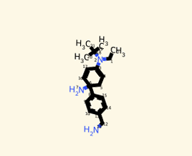 CCN(C1=CCC(N)(c2ccc(CN)cc2)C=C1)C(C)(C)C